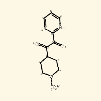 O=C(C(=O)C1CCN(C(=O)O)CC1)c1ncccn1